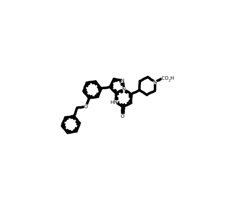 O=C(O)N1CCC(c2cc(=O)[nH]c3c(-c4cccc(OCc5ccccc5)c4)cnn23)CC1